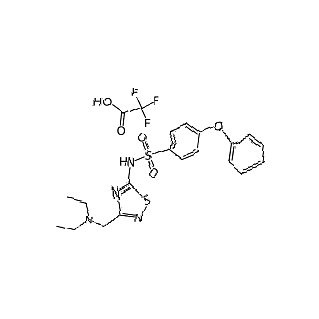 CCN(CC)Cc1nsc(NS(=O)(=O)c2ccc(Oc3ccccc3)cc2)n1.O=C(O)C(F)(F)F